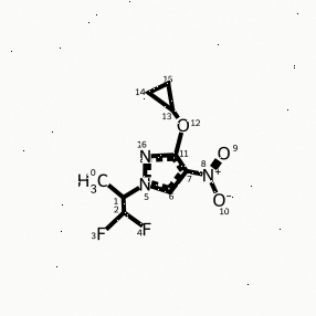 CC(C(F)F)n1cc([N+](=O)[O-])c(OC2CC2)n1